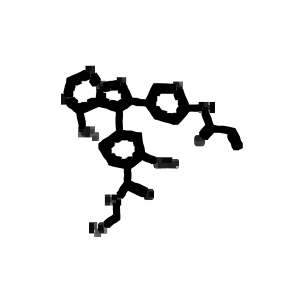 C=CC(=O)Nc1ccc(-c2nn3ncnc(N)c3c2-c2ccc(C(=O)NCC(F)(F)F)c(OC)c2)cn1